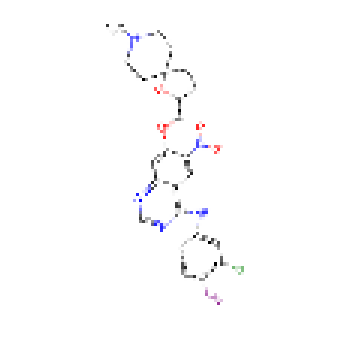 CN1CCC2(CCC(COc3cc4ncnc(Nc5ccc(P)c(Cl)c5)c4cc3[N+](=O)[O-])O2)CC1